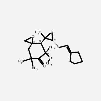 BC1(B)C[C@]2(CO2)[C@@H](C2(C)O[C@@H]2CC=C2CCCC2)[C@](B)(OC)C1=O